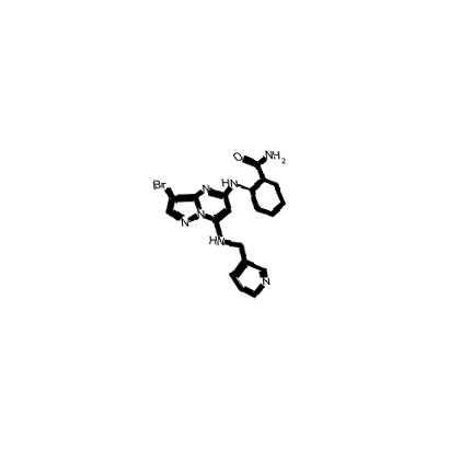 NC(=O)C1CCCC[C@H]1Nc1cc(NCc2cccnc2)n2ncc(Br)c2n1